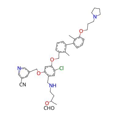 Cc1c(COc2cc(OCc3cncc(C#N)c3)c(CNCCC(C)OC=O)cc2Cl)cccc1-c1cccc(OCCCN2CCCC2)c1C